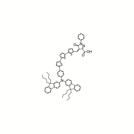 CCCCC1(CCCC)c2ccccc2-c2ccc(N(c3ccc(-c4ccc(-c5ccc(-c6ccc(/C=C7\C(=O)N(c8ccccc8)N=C7C(=O)O)s6)s5)s4)cc3)c3ccc4c(c3)C(CCCC)(CCCC)c3ccccc3-4)cc21